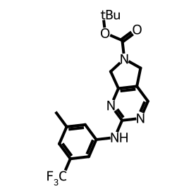 Cc1cc(Nc2ncc3c(n2)CN(C(=O)OC(C)(C)C)C3)cc(C(F)(F)F)c1